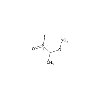 CC(O[N+](=O)[O-])[PH](=O)F